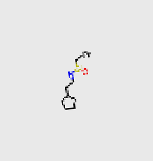 CC(C)C[S+]([O-])N=CCC1CCCC1